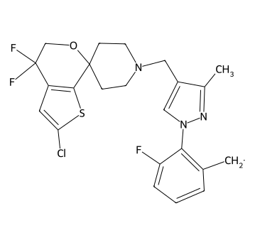 [CH2]c1cccc(F)c1-n1cc(CN2CCC3(CC2)OCC(F)(F)c2cc(Cl)sc23)c(C)n1